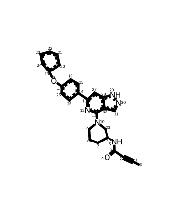 CC#CC(=O)N[C@H]1CCCN(c2nc(-c3ccc(Oc4ccccc4)cc3)cc3[nH]ncc23)C1